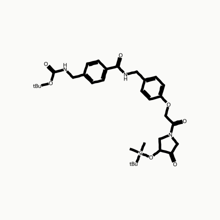 CC(C)(C)OC(=O)NCc1ccc(C(=O)NCc2ccc(OCC(=O)N3CC(=O)C(O[Si](C)(C)C(C)(C)C)C3)cc2)cc1